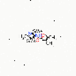 CSc1cc(C)nc(SC)c1NC(=O)C1CC(C)=C(C)CO1